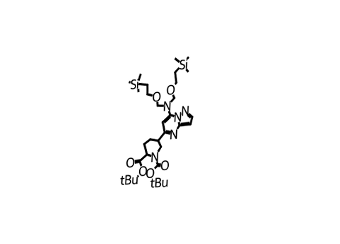 CC(C)(C)OC(=O)C1CCC(c2cc(N(COCC[Si](C)(C)C)COCC[Si](C)(C)C)n3nccc3n2)CN1C(=O)OC(C)(C)C